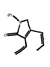 C=CC1=C(/C=C\C)CN(C(C)C)C1=O